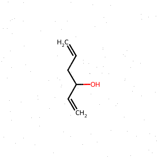 C=CCC(O)C=C